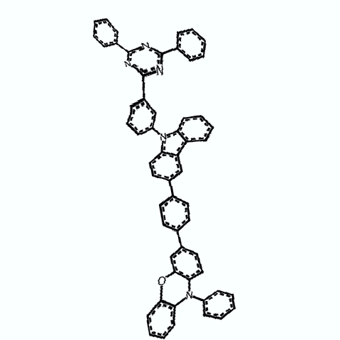 c1ccc(-c2nc(-c3ccccc3)nc(-c3cccc(-n4c5ccccc5c5cc(-c6ccc(-c7ccc8c(c7)Oc7ccccc7N8c7ccccc7)cc6)ccc54)c3)n2)cc1